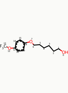 OCCCCCCOc1ccc(OC(F)(F)F)cc1